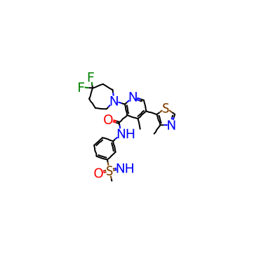 Cc1ncsc1-c1cnc(N2CCCC(F)(F)CC2)c(C(=O)Nc2cccc(S(C)(=N)=O)c2)c1C